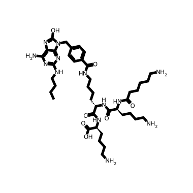 CCCCNc1nc(N)c2nc(O)n(Cc3ccc(C(=O)NCCCC[C@H](NC(=O)[C@H](CCCCN)NC(=O)CCCCCN)C(=O)N[C@@H](CCCCN)C(=O)O)cc3)c2n1